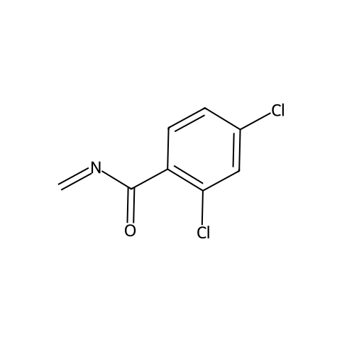 C=NC(=O)c1ccc(Cl)cc1Cl